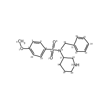 COc1ccc(S(=O)(=O)N(Cc2ccccc2)C2CCCNC2)cc1